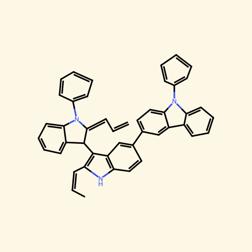 C=C/C=C1\C(c2c(/C=C\C)[nH]c3ccc(-c4ccc5c(c4)c4ccccc4n5-c4ccccc4)cc23)c2ccccc2N1c1ccccc1